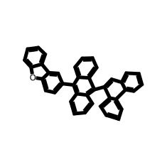 c1ccc2c(c1)cc(-c1c3ccccc3c(-c3ccc4oc5ccccc5c4c3)c3ccccc13)c1ccccc12